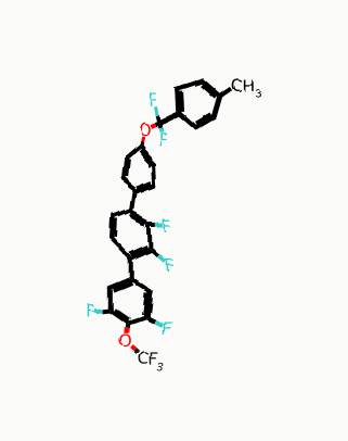 Cc1ccc(C(F)(F)Oc2ccc(-c3ccc(-c4cc(F)c(OC(F)(F)F)c(F)c4)c(F)c3F)cc2)cc1